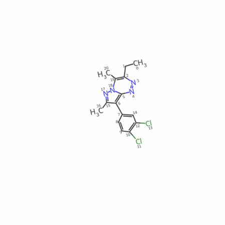 CCc1nnc2c(-c3ccc(Cl)c(Cl)c3)c(C)nn2c1C